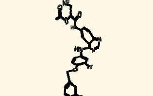 CC(=O)OC(CN)C(=O)Nc1ccc2ncnc(Nc3ccc(OCc4cccc(F)c4)c(Cl)c3)c2c1